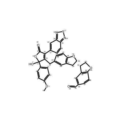 COc1ccc(C2(O)OC(=O)C(c3ccc4nsnc4c3)=C2Cc2ccc3c(c2)CCO3)cc1.O=Cc1ccc2c(c1)CCO2